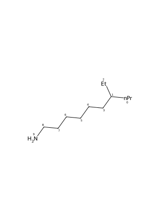 CCCC(CC)CCCCCCN